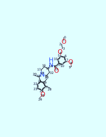 COCCOc1cc(OC)cc(C(=O)NC2CCN(C(C)c3ccc(OC)c(C)c3C)CC2)c1